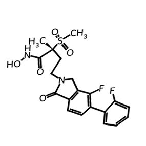 C[C@@](CCN1Cc2c(ccc(-c3ccccc3F)c2F)C1=O)(C(=O)NO)S(C)(=O)=O